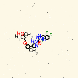 Cc1ccc(OCCCC(C)(C)O)cc1-c1ccnc(NC(=O)c2nnc(Cc3c(F)ccc(F)c3F)[nH]2)c1